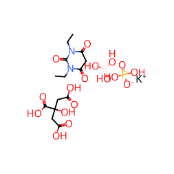 CCN1C(=O)CC(=O)N(CC)C1=O.O=C(O)CC(O)(CC(=O)O)C(=O)O.O=P([O-])(O)O.OB(O)O.[K+]